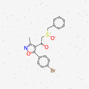 Cc1noc(-c2ccc(Br)cc2)c1C(=O)C[S+]([O-])Cc1ccccc1